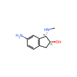 CN[C@H]1c2cc(N)ccc2C[C@@H]1O